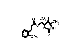 CC(=O)Oc1ccccc1CCC(=O)OCC1NC(=S)NC(C)=C1C(=O)O